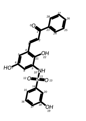 O=C(C=Cc1cc(O)cc(NS(=O)(=O)c2cccc(O)c2)c1O)c1ccccc1